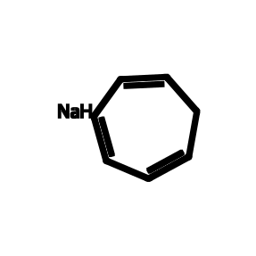 C1=CC=CCC=C1.[NaH]